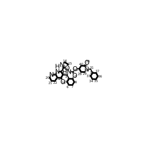 O=C(NC(c1ccccc1)c1c(-c2ncco2)[nH]c2ncccc2c1=O)Oc1ccn(Cc2ccccc2)c(=O)c1